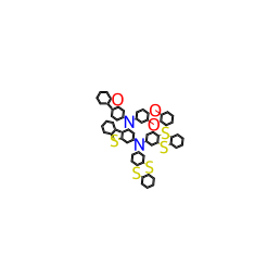 c1ccc2c(c1)Oc1ccc(N(c3ccc4c(c3)oc3ccccc34)c3cc(N(c4ccc5c(c4)Sc4ccccc4S5)c4ccc5c(c4)Sc4ccccc4S5)cc4sc5ccccc5c34)cc1O2